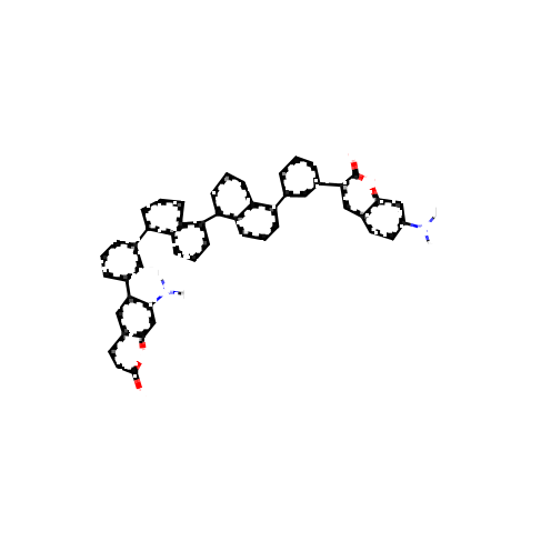 CCN(CC)c1ccc2cc(-c3cccc(-c4cccc5c(-c6cccc7c(-c8cccc(-c9cc%10ccc(=O)oc%10cc9N(CC)CC)c8)cccc67)cccc45)c3)c(=O)oc2c1